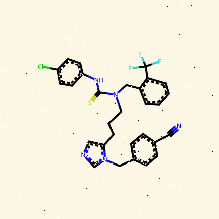 N#Cc1ccc(Cn2cncc2CCCN(Cc2ccccc2C(F)(F)F)C(=S)Nc2ccc(Cl)cc2)cc1